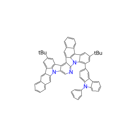 CC(C)(C)c1cc(-c2ccc3c(c2)c2ccccc2n3-c2ccccc2)c2c(c1)c1c3ccccc3cc3c4c5c6cc(C(C)(C)C)cc7c8cc9ccccc9cc8n(c5cnc4n2c31)c76